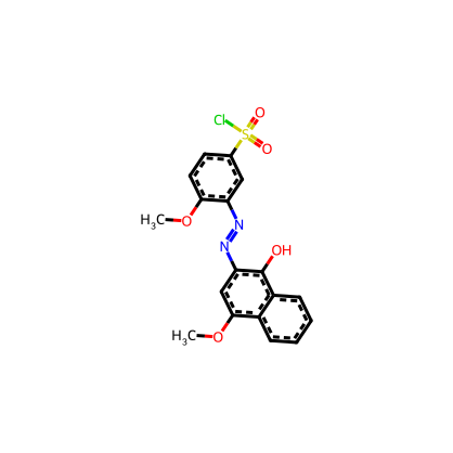 COc1ccc(S(=O)(=O)Cl)cc1N=Nc1cc(OC)c2ccccc2c1O